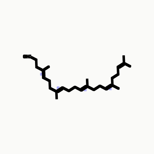 CC(C)=CCC/C(C)=C\CC/C(C)=C/CC/C=C(\C)CC/C=C(\C)CCC=O